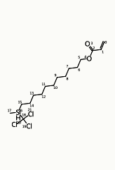 C=CC(=O)OCCCCCCCCCCC[SiH](C)C(Cl)(Cl)Cl